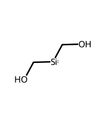 OC[Si]CO